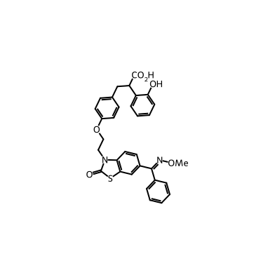 CON=C(c1ccccc1)c1ccc2c(c1)sc(=O)n2CCOc1ccc(CC(C(=O)O)c2ccccc2O)cc1